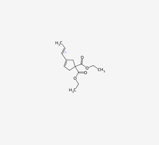 C/C=C/C1=CCC(C(=O)OCC)(C(=O)OCC)C1